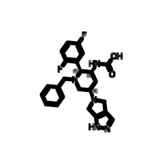 O=C(O)N[C@H]1C[C@@H](N2Cc3cn[nH]c3C2)CN(Cc2ccccc2)[C@H]1c1cc(F)ccc1F